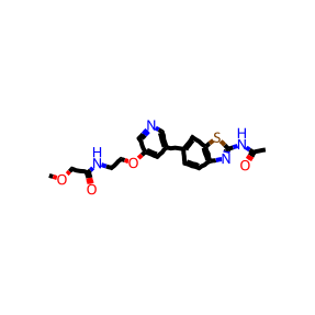 COCC(=O)NCCOc1cncc(-c2ccc3nc(NC(C)=O)sc3c2)c1